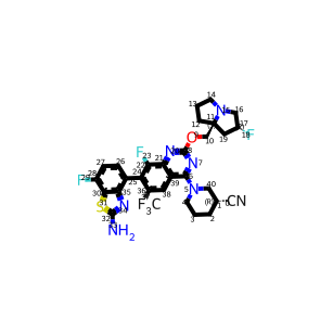 N#C[C@@H]1CCCN(c2nc(OC[C@@]34CCCN3C[C@H](F)C4)nc3c(F)c(-c4ccc(F)c5sc(N)nc45)c(C(F)(F)F)cc23)C1